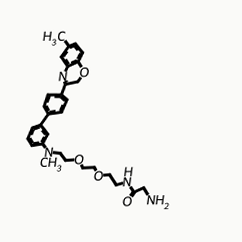 Cc1ccc2c(c1)N=C(c1ccc(-c3cccc(N(C)CCOCCOCCNC(=O)CN)c3)cc1)CO2